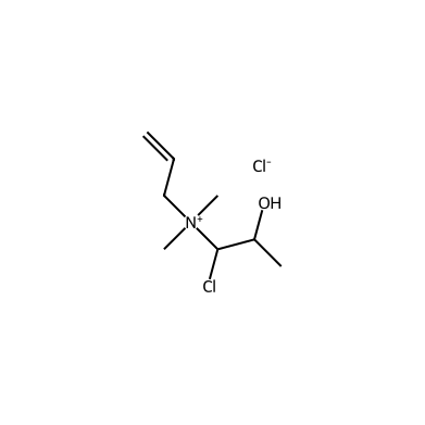 C=CC[N+](C)(C)C(Cl)C(C)O.[Cl-]